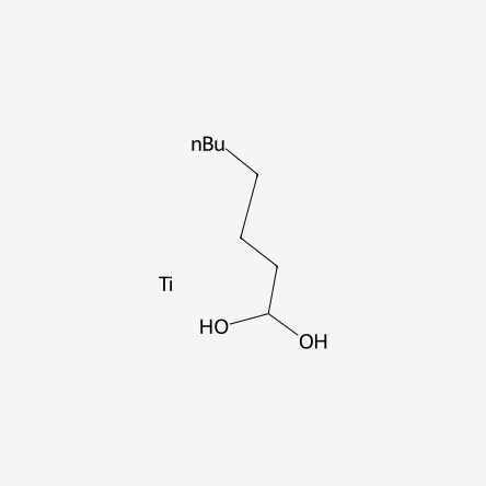 CCCCCCCC(O)O.[Ti]